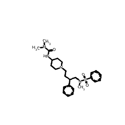 CN(C)C(=O)NC1CCN(CCC(CN(C)S(=O)(=O)c2ccccc2)c2ccccc2)CC1